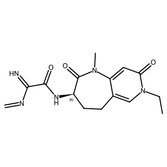 C=NC(=N)C(=O)N[C@@H]1CCc2cn(CC)c(=O)cc2N(C)C1=O